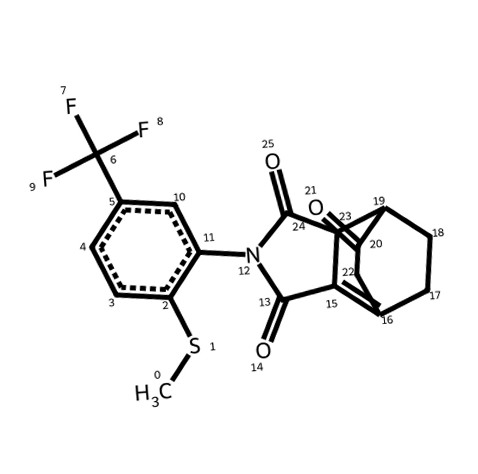 CSc1ccc(C(F)(F)F)cc1N1C(=O)C2=C3CCC(C(=O)C3)C2C1=O